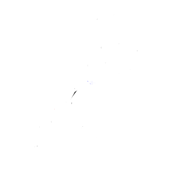 O=C1C[C@H](CNCc2cccc3ccccc23)Oc2ccccc21